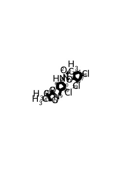 CC(=O)N(Nc1ccc(CN2OCC(C)(C)C2=O)c(Cl)c1)Oc1ccc(Cl)cc1Cl